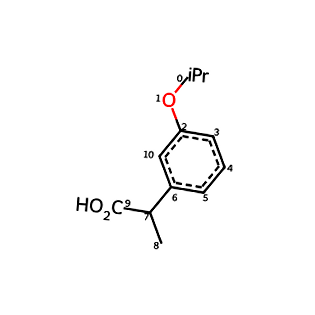 CC(C)Oc1cccc(C(C)C(=O)O)c1